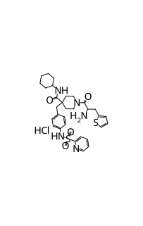 Cl.NC(Cc1cccs1)C(=O)N1CCC(Cc2ccc(NS(=O)(=O)c3ccccn3)cc2)(C(=O)NC2CCCCC2)CC1